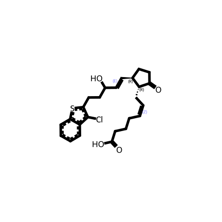 O=C(O)CCC/C=C\C[C@H]1C(=O)CC[C@@H]1/C=C/C(O)CCc1sc2ccccc2c1Cl